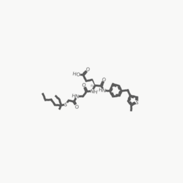 CCCCC(C)(CC)SCC(=O)NCC(=O)N[C@@H](CCC(=O)O)C(=O)Nc1ccc(Cc2csc(C)c2)cc1